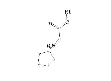 C1CCCC1.CCOC(=O)CN